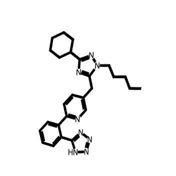 CCCCCn1nc(C2CCCCC2)nc1Cc1ccc(-c2ccccc2-c2nnn[nH]2)nc1